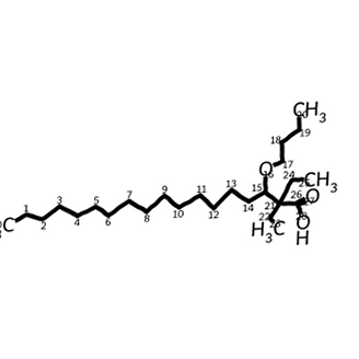 CCCCCCCCCCCCCCCC(OCCCC)C(CC)(CC)C(=O)O